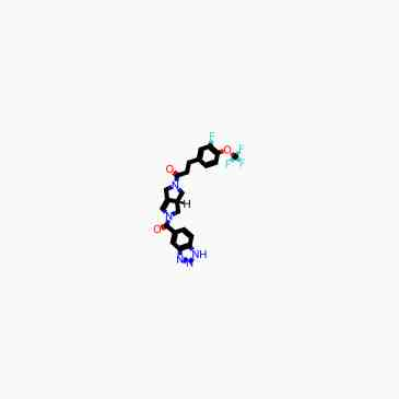 O=C(c1ccc2[nH]nnc2c1)N1C=C2CN(C(=O)CCc3ccc(OC(F)(F)F)c(F)c3)C[C@@H]2C1